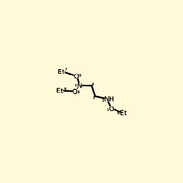 CCONCCN(OCC)OCC